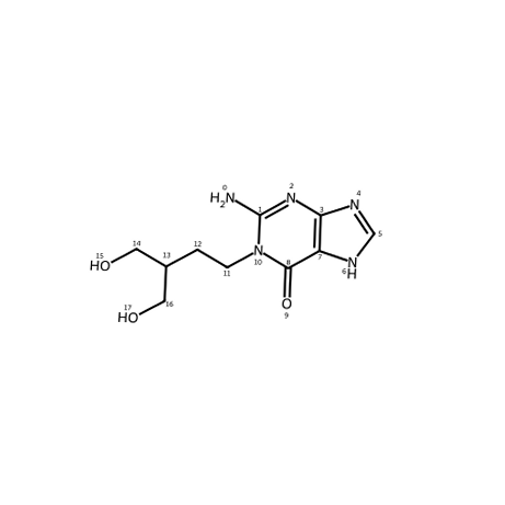 Nc1nc2nc[nH]c2c(=O)n1CCC(CO)CO